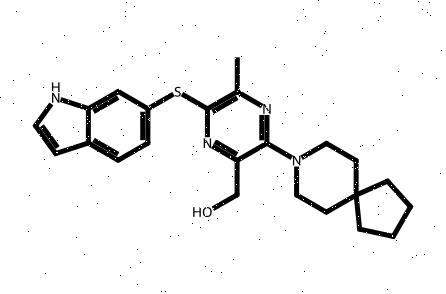 Cc1nc(N2CCC3(CCCC3)CC2)c(CO)nc1Sc1ccc2cc[nH]c2c1